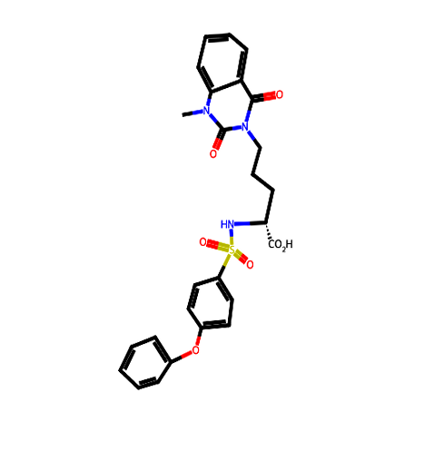 Cn1c(=O)n(CCC[C@@H](NS(=O)(=O)c2ccc(Oc3ccccc3)cc2)C(=O)O)c(=O)c2ccccc21